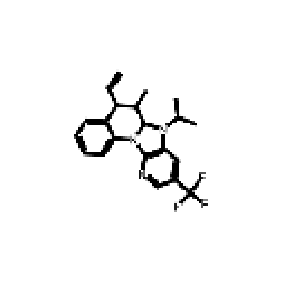 C=CC1c2ccccc2N2c3ncc(C(F)(F)F)cc3N(C(C)C)C2C1C